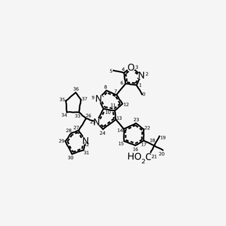 Cc1noc(C)c1-c1cnc2c(c1)c(-c1ccc(C(C)(C)C(=O)O)cc1)cn2C(c1ccccn1)C1CCCC1